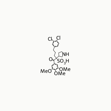 COc1cc(C(=O)C(CCCc2ccc(Cl)c(Cl)c2)(C2CCNC2)S(=O)(=O)O)cc(OC)c1OC